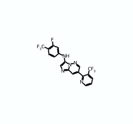 Fc1cc(Nc2cnc3cc(-c4ncccc4C(F)(F)F)cnn23)ccc1C(F)(F)F